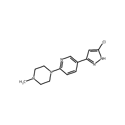 CN1CCN(c2ccc(-c3cc(Cl)[nH]n3)cn2)CC1